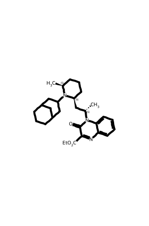 CCOC(=O)c1nc2ccccc2n([C@@H](C)C[C@@H]2CCC[C@H](C)N2C2CC3CCCC(C3)C2)c1=O